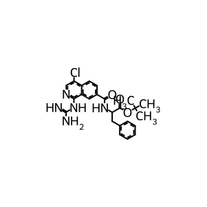 CC(C)(C)OC(=O)C(Cc1ccccc1)NC(=O)c1ccc2c(Cl)cnc(NC(=N)N)c2c1